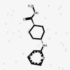 NNC(=O)[C@H]1CC[C@H](Nc2ccccn2)CC1